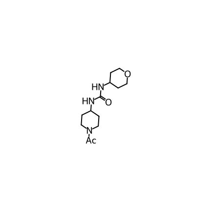 CC(=O)N1CCC(NC(=O)NC2CCOCC2)CC1